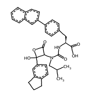 CC(C)CN(C(=O)N[C@@H](Cc1ccc(-c2ccc3ccccc3c2)cc1)C(=O)O)C1C(=O)OC1(O)c1ccc2c(c1)CCC2